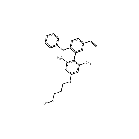 CSCCCOc1cc(C)c(-c2cc(C=O)ccc2Oc2ccccc2)c(C)c1